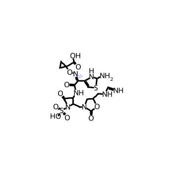 N=CNCC1CN(CC2C(NC(=O)/C(=N\OC3(C(=O)O)CC3)C3=CSC(N)N3)C(=O)N2S(=O)(=O)O)C(=O)O1